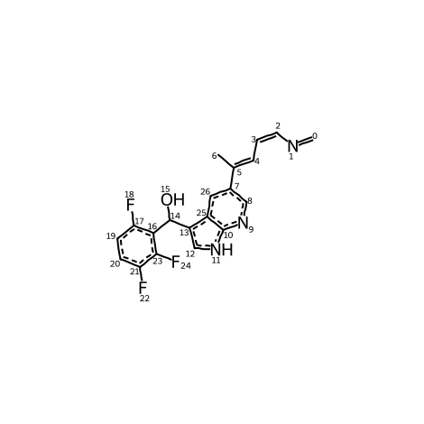 C=N/C=C\C=C(/C)c1cnc2[nH]cc(C(O)c3c(F)ccc(F)c3F)c2c1